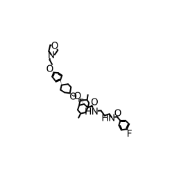 CC1CC2CC(C(=O)NCCCNC(=O)c3ccc(F)cc3)(C1)CC(C)[C@@H]2OO[C@H]1CC[C@@H](c2ccc(OCCN3CCOCC3)cc2)CC1